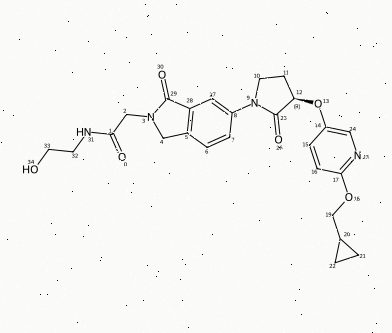 O=C(CN1Cc2ccc(N3CC[C@@H](Oc4ccc(OCC5CC5)nc4)C3=O)cc2C1=O)NCCO